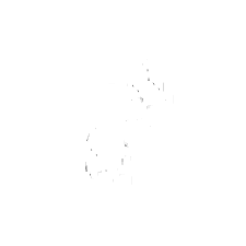 O=C1N[C@H]2CS[C@@H](CCCC(C(=O)O)(N3C(=O)CCC3=O)S(=O)(=O)O)[C@H]2N1O